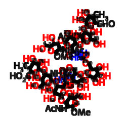 CO[C@@H]1OC(CO)[C@@H](O)[C@H](O[C@@H]2OC(C(=O)NNC(=O)OCC3O[C@H](O[C@H]4OC(COC(=O)NNC(=O)C5O[C@@H](O[C@@H]6C(NC(C)=O)[C@H](OC)OC(CO)[C@H]6O)C(O)[C@@H](O)[C@@H]5O[C@@H]5OC(CO)[C@@H](O)[C@H](O[C@@H]6OC(C(=O)O)[C@@H](C)[C@H](O)C6O)C5NC(C)=O)[C@@H](O)[C@H](O)C4O)C(O)[C@@H](O)[C@@H]3O)[C@@H](O[C@@H]3OC(CO)[C@@H](O)[C@H](O[C@@H]4OC(C=O)[C@@H](C)[C@H](O)C4O)C3NC(C)=O)[C@H](O)C2O)C1NC(C)=O